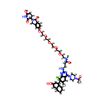 CCC(=O)N1CCN(c2nc(NCCC(=O)N(C)CCOCCOCCOCCOCCOc3ccc4c(c3)CN(C3CCC(=O)NC3=O)C4=O)nc3c(F)c(-c4cc(O)cc5ccccc45)c(Cl)cc23)CC1